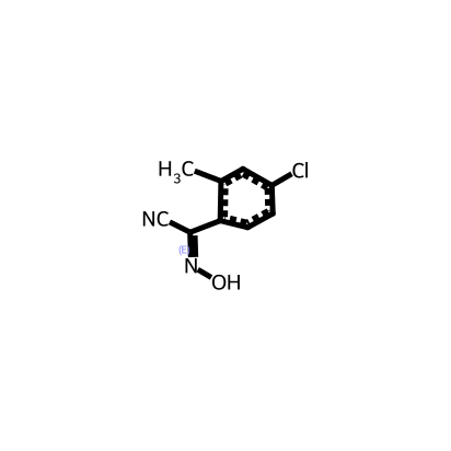 Cc1cc(Cl)ccc1/C(C#N)=N\O